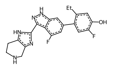 CCc1cc(O)c(F)cc1-c1cc(F)c2c(-c3nc4c([nH]3)CCNC4)n[nH]c2c1